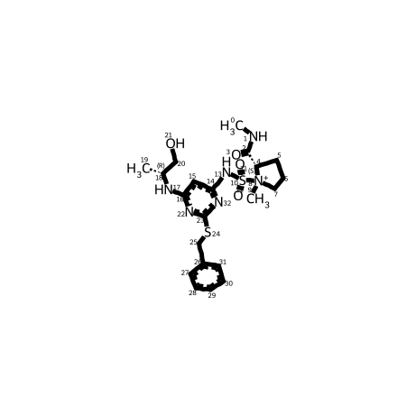 CNC(=O)[C@@H]1CCC[N+]1(C)S(=O)(=O)Nc1cc(N[C@H](C)CO)nc(SCc2ccccc2)n1